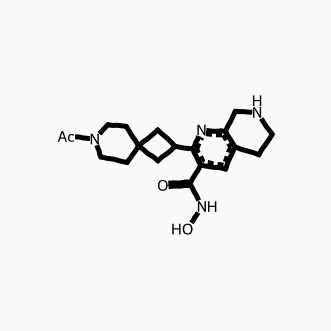 CC(=O)N1CCC2(CC1)CC(c1nc3c(cc1C(=O)NO)CCNC3)C2